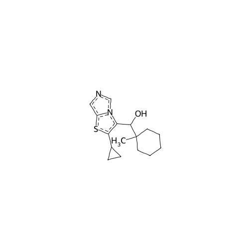 CC1(C(O)c2c(C3CC3)sc3cncn23)CCCCC1